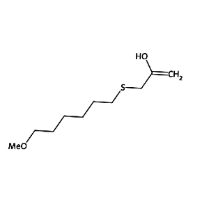 C=C(O)CSCCCCCCOC